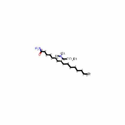 CC(C)CCCCCCCCCCCCCCC(N)=O.CCOC(=O)CN(CC)CC